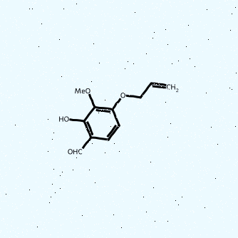 C=CCOc1ccc(C=O)c(O)c1OC